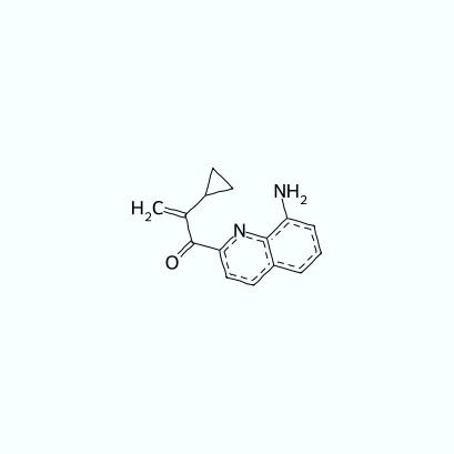 C=C(C(=O)c1ccc2cccc(N)c2n1)C1CC1